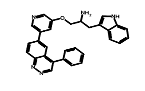 NC(COc1cncc(-c2ccc3nncc(-c4ccccc4)c3c2)c1)Cc1c[nH]c2ccccc12